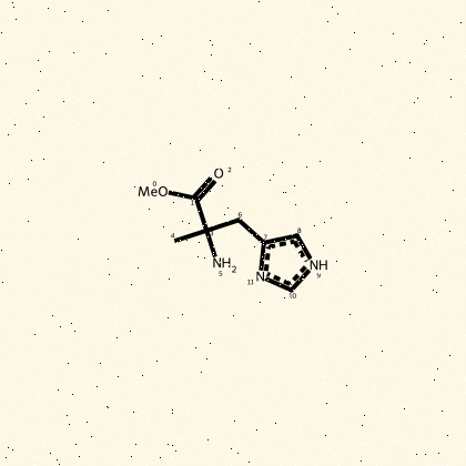 COC(=O)C(C)(N)Cc1c[nH]cn1